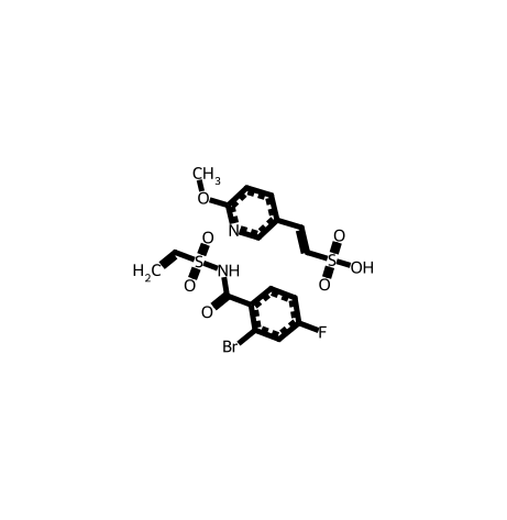 C=CS(=O)(=O)NC(=O)c1ccc(F)cc1Br.COc1ccc(C=CS(=O)(=O)O)cn1